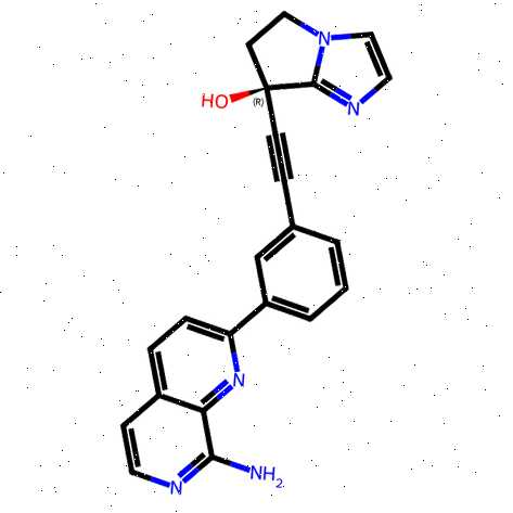 Nc1nccc2ccc(-c3cccc(C#C[C@]4(O)CCn5ccnc54)c3)nc12